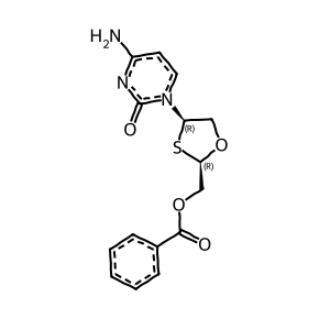 Nc1ccn([C@H]2CO[C@@H](COC(=O)c3ccccc3)S2)c(=O)n1